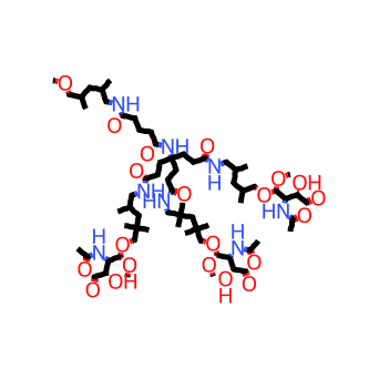 COCC(C)CC(C)CNC(=O)CCCC(=O)NC(CCC(=O)NCC(C)CC(C)COC(OC)C(NC(C)=O)[C@H](O)C=O)(CCC(=O)NCC(C)CC(C)(C)COC(OC)C(NC(C)=O)[C@H](O)C=O)CCC(=O)NCC(C)(C)CC(C)(C)COC(OC)C(NC(C)=O)[C@H](O)C=O